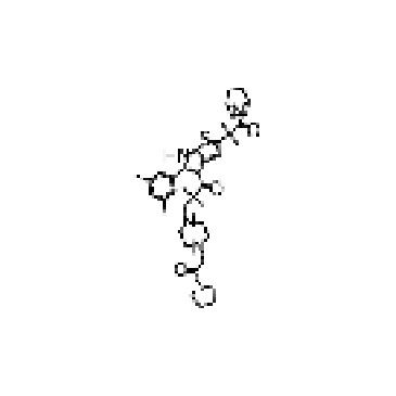 Cc1cc(C)cc(-c2[nH]c3sc(C(C)(C)C(=O)N4C5CCC4CC5)cc3c2C(=O)C(C)(C)CN2CCN(CC(=O)N3CCCC3)CC2)c1